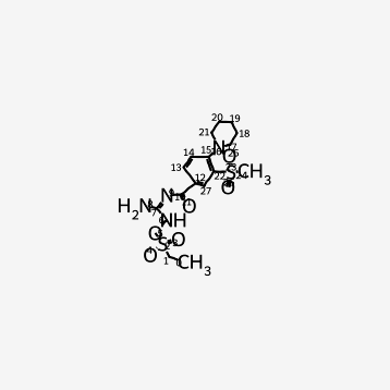 CCS(=O)(=O)ONC(N)=NC(=O)c1ccc(N2CCCCC2)c(S(C)(=O)=O)c1